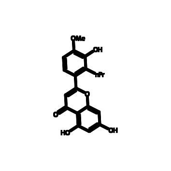 CCCc1c(-c2cc(=O)c3c(O)cc(O)cc3o2)ccc(OC)c1O